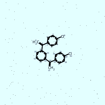 C=C(c1ccc(Cl)cc1)c1cccc(C(=C)c2ccc(Cl)cc2)c1